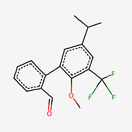 COc1c(-c2ccccc2C=O)cc(C(C)C)cc1C(F)(F)F